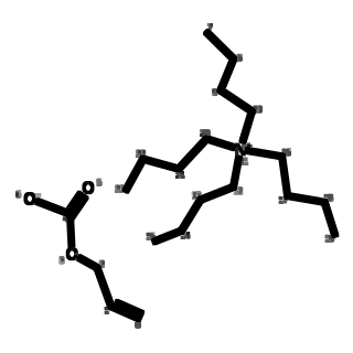 C=CCOC(=O)[O-].CCCC[N+](CCCC)(CCCC)CCCC